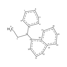 CCC(c1ccccc1)c1cccc2ccccc12